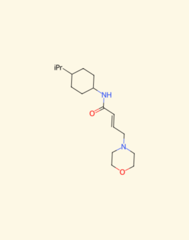 CC(C)C1CCC(NC(=O)/C=C/CN2CCOCC2)CC1